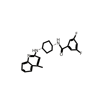 Cc1cc(N[C@H]2CC[C@@H](NC(=O)c3cc(F)cc(F)c3)CC2)nc2ccccc12